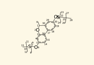 CC1Oc2cc(O[Si](C)(C)C(C)(C)C)ccc2-c2ccc(O[Si](C)(C)C(C)(C)C)cc21